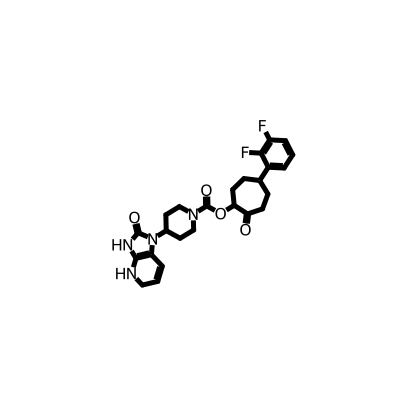 O=C1CCC(c2cccc(F)c2F)CCC1OC(=O)N1CCC(n2c3c([nH]c2=O)NCC=C3)CC1